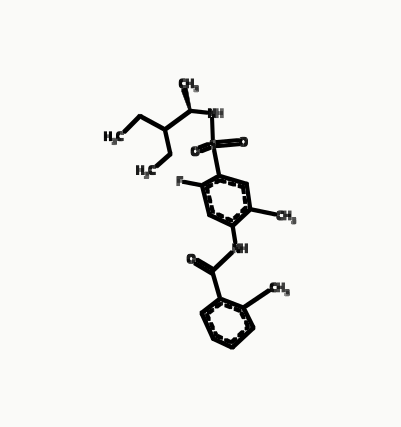 CCC(CC)[C@@H](C)NS(=O)(=O)c1cc(C)c(NC(=O)c2ccccc2C)cc1F